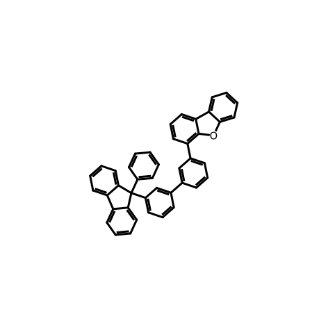 c1ccc(C2(c3cccc(-c4cccc(-c5cccc6c5oc5ccccc56)c4)c3)c3ccccc3-c3ccccc32)cc1